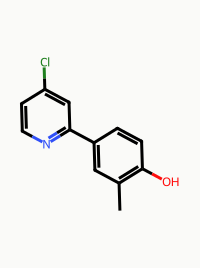 Cc1cc(-c2cc(Cl)ccn2)ccc1O